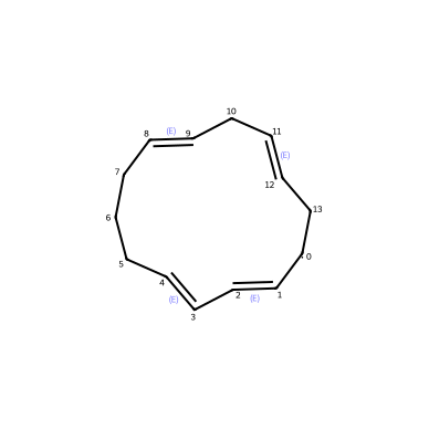 [CH]1/C=C/C=C/CCC/C=C/C/C=C/C1